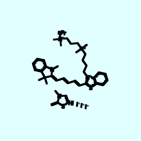 C=C1SC=CN1C.CCC[N+](C)(C)CCC[N+](C)(C)CCCC[n+]1c(C=CC=CC=C2N(C)c3ccccc3C2(C)C)sc2ccccc21.I.[I-].[I-].[I-]